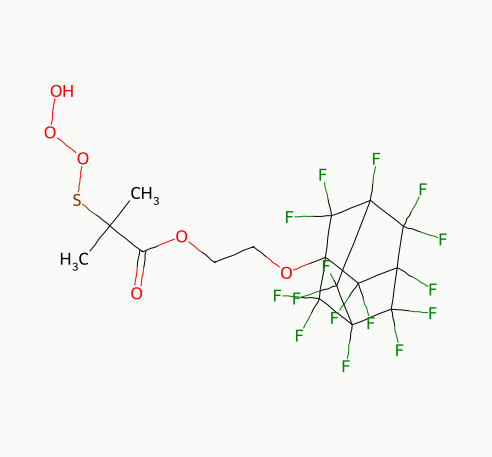 CC(C)(SOOO)C(=O)OCCOC12C(F)(F)C3(F)C(F)(F)C(F)(C(F)(F)C(F)(C3(F)F)C1(F)F)C2(F)F